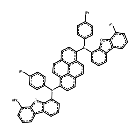 CCCc1cccc2c1oc1c(N(c3ccc(C(C)C)cc3)c3ccc4ccc5c(N(c6ccc(C(C)C)cc6)c6cccc7c6oc6c(CCC)cccc67)ccc6ccc3c4c65)cccc12